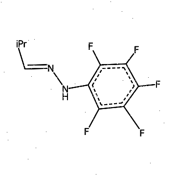 CC(C)C=NNc1c(F)c(F)c(F)c(F)c1F